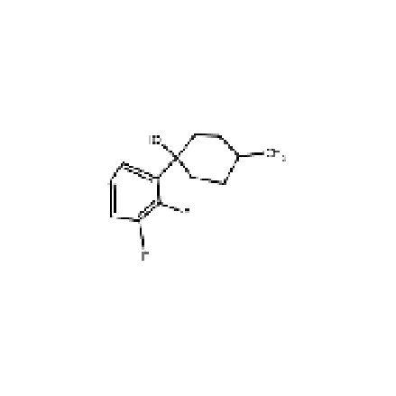 CC1CCC(O)(c2cccc(F)c2F)CC1